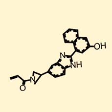 C=CC(=O)N1CC(c2ccc3[nH]c(-c4cc(O)cc5ccccc45)nc3c2)C1